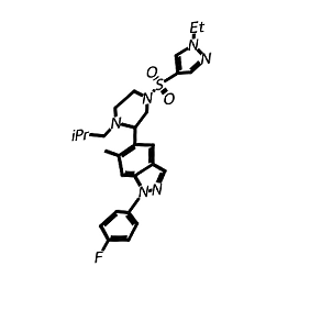 CCn1cc(S(=O)(=O)N2CCN(CC(C)C)C(c3cc4cnn(-c5ccc(F)cc5)c4cc3C)C2)cn1